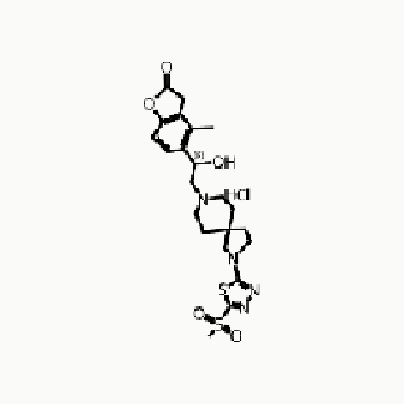 Cc1c([C@@H](O)CN2CCC3(CC2)CCN(c2nnc(S(C)(=O)=O)s2)C3)ccc2c1CC(=O)O2.Cl